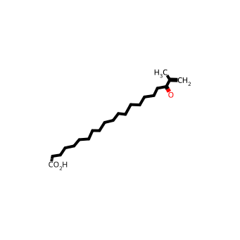 C=C(C)C(=O)CCCCCCCCCCCCCCCCCC(=O)O